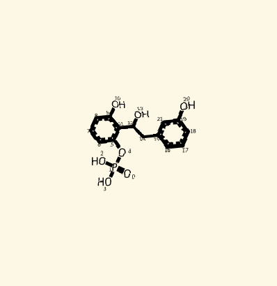 O=P(O)(O)Oc1cccc(O)c1C(O)Cc1cccc(O)c1